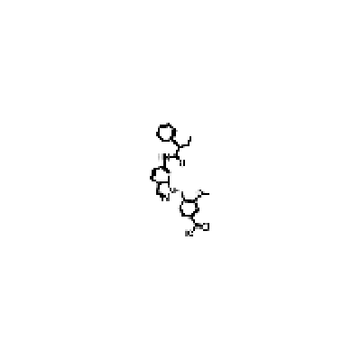 CCC(C(=O)Nc1ccc2cnn(Cc3ccc(C(=O)O)cc3OC)c2c1)c1ccccc1